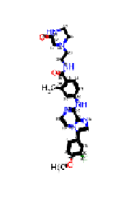 COc1ccc(-c2cnc3c(Nc4ccc(C(=O)NCCN5CCNC(=O)C5)c(C)c4)nccn23)cc1F